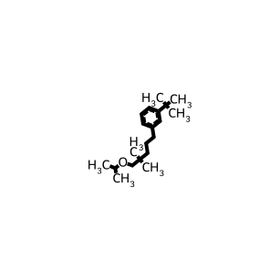 CC(C)OCC(C)(C)CCCc1cccc(C(C)(C)C)c1